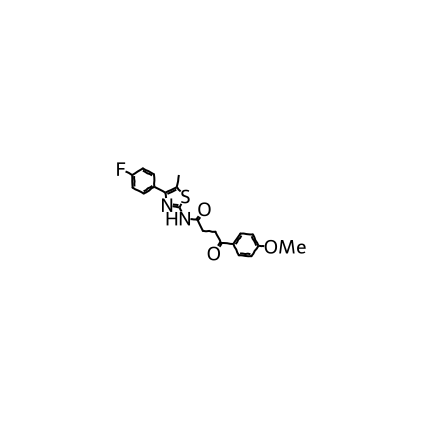 COc1ccc(C(=O)CCC(=O)Nc2nc(-c3ccc(F)cc3)c(C)s2)cc1